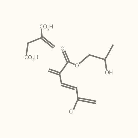 C=C(CC(=O)O)C(=O)O.C=C(Cl)C=CC(=C)C(=O)OCC(C)O